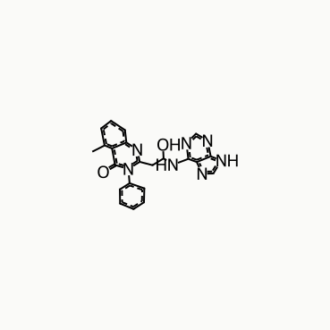 Cc1cccc2nc(CC(O)Nc3ncnc4[nH]cnc34)n(-c3ccccc3)c(=O)c12